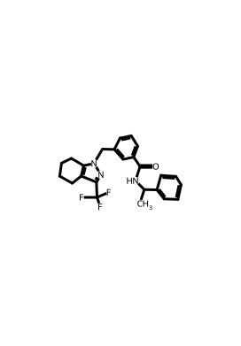 CC(NC(=O)c1cccc(Cn2nc(C(F)(F)F)c3c2CCCC3)c1)c1ccccc1